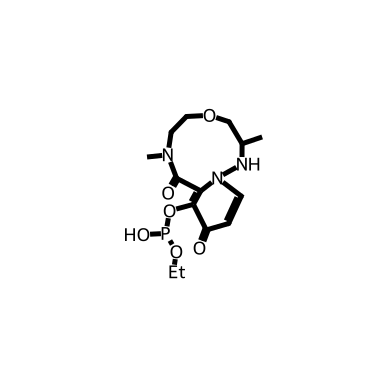 CCOP(O)Oc1c2n(ccc1=O)NC(C)COCCN(C)C2=O